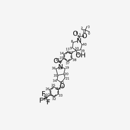 CC(C)(C)OC(=O)N1CCC(O)(c2ccc(C(=O)N3CC4CC(Oc5ccc(C(F)(F)F)cc5)CC4C3)cc2)CC1